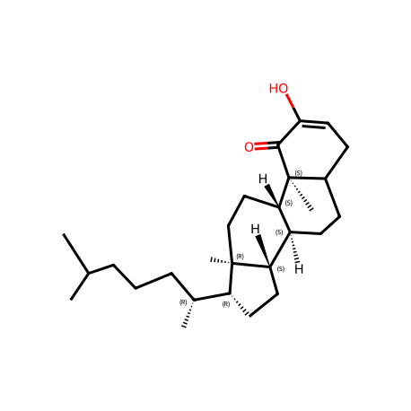 CC(C)CCC[C@@H](C)[C@H]1CC[C@H]2[C@@H]3CCC4CC=C(O)C(=O)[C@]4(C)[C@H]3CC[C@]12C